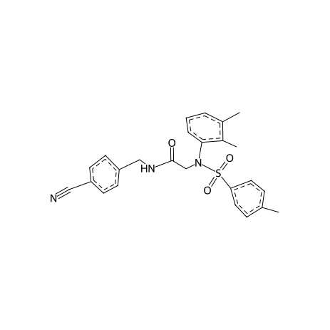 Cc1ccc(S(=O)(=O)N(CC(=O)NCc2ccc(C#N)cc2)c2cccc(C)c2C)cc1